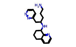 NCCCC(Cc1cccnn1)NC1CCCc2cccnc21